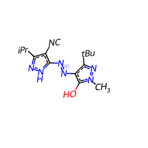 [C-]#[N+]c1c(C(C)C)n[nH]c1/N=N/c1c(C(C)(C)C)nn(C)c1O